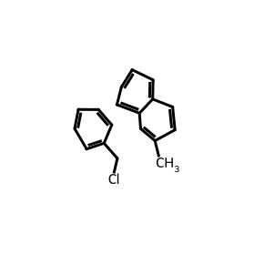 Cc1ccc2ccccc2c1.ClCc1ccccc1